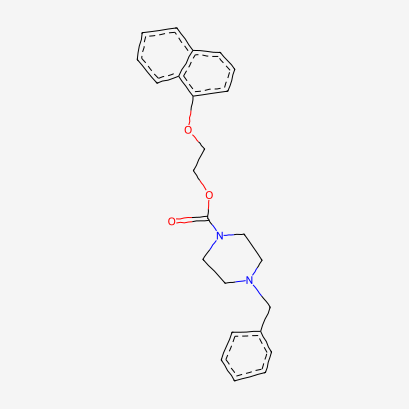 O=C(OCCOc1cccc2ccccc12)N1CCN(Cc2ccccc2)CC1